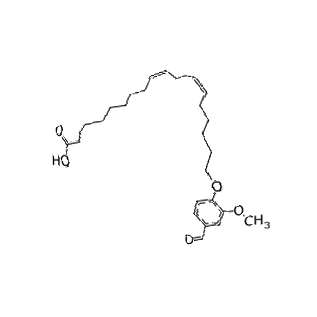 COc1cc(C=O)ccc1OCCCCC/C=C\C/C=C\CCCCCCCC(=O)O